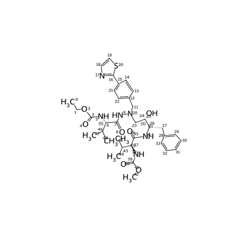 CCOC(=O)N[C@H](C(=O)NN(Cc1ccc(-c2nccs2)cc1)C[C@H](O)[C@H](Cc1ccccc1)NC(=O)[C@@H](NC(=O)OC)C(C)C)C(C)C